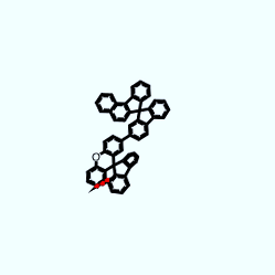 c1ccc2c(c1)-c1ccc(-c3ccc4c(c3)C3(c5ccccc5-c5ccccc53)c3c(ccc5ccccc35)O4)cc1C21c2ccccc2-c2c1ccc1ccccc21